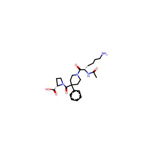 CC(=O)N[C@@H](CCCCN)C(=O)N1CCC(C(=O)N2CC[C@H]2C(=O)O)(c2ccccc2)CC1